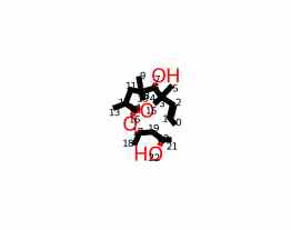 CC=CC(C)(C)C(O)C(C)(C)CC(C)C(=O)OC(C)CC(C)O